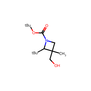 CC(C)(C)OC(=O)N1CC(C)(CO)C1C(C)(C)C